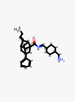 CC/C=C1/C2CC3(c4ccccc4)CC1C(C(=O)/N=C/C1CCC(CN)CC1)(C2)C3